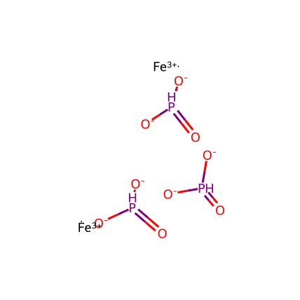 O=[PH]([O-])[O-].O=[PH]([O-])[O-].O=[PH]([O-])[O-].[Fe+3].[Fe+3]